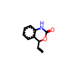 C=CC1OC(=O)Nc2ccccc21